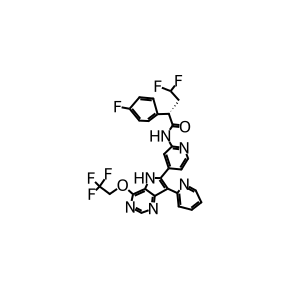 O=C(Nc1cc(-c2[nH]c3c(OCC(F)(F)F)ncnc3c2-c2ccccn2)ccn1)[C@@H](CC(F)F)c1ccc(F)cc1